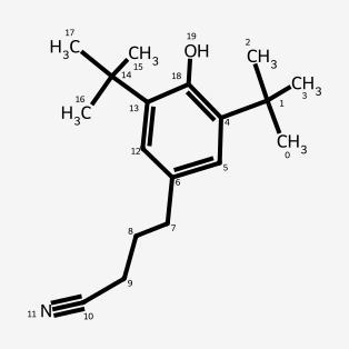 CC(C)(C)c1cc(CCCC#N)cc(C(C)(C)C)c1O